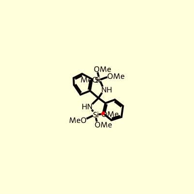 CO[Si](NC(N[Si](OC)(OC)OC)(c1ccccc1)c1ccccc1)(OC)OC